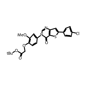 COc1cc(-n2cnc3cc(-c4ccc(Cl)cc4)sc3c2=O)ccc1OCC(=O)OC(C)(C)C